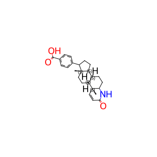 C[C@]12C=CC(=O)NC1CC[C@@H]1[C@H]2CC[C@]2(C)C(c3ccc(C(=O)O)cc3)CC[C@@H]12